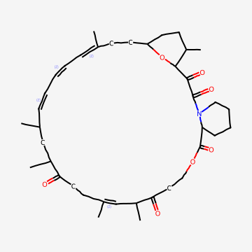 C/C1=C/C(C)C(=O)CCOC(=O)C2CCCCN2C(=O)C(=O)C2OC(CC\C(C)=C/C=C\C=C/C(C)CC(C)C(=O)CC1)CCC2C